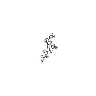 Cc1cn(-c2ccnc3[nH]c(-c4n[nH]c5cnc(-c6cncc(NC(=O)CN(C)C)c6)cc45)nc23)cn1